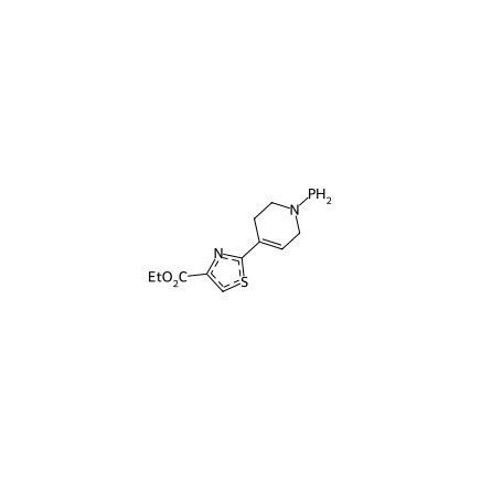 CCOC(=O)c1csc(C2=CCN(P)CC2)n1